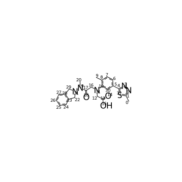 Cc1nnc(-c2ccc(C)c(N(CC(=O)O)CC(=O)N(C)N3Cc4ccccc4C3)c2)s1